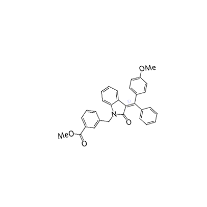 COC(=O)c1cccc(CN2C(=O)/C(=C(\c3ccccc3)c3ccc(OC)cc3)c3ccccc32)c1